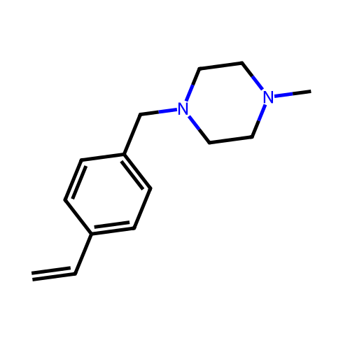 C=Cc1ccc(CN2CCN(C)CC2)cc1